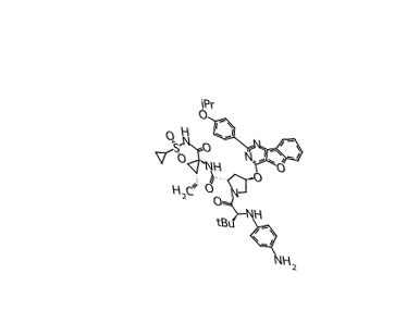 C=C[C@@H]1C[C@]1(NC(=O)[C@@H]1C[C@@H](Oc2nc(-c3ccc(OC(C)C)cc3)nc3c2oc2ccccc23)CN1C(=O)[C@@H](Nc1ccc(N)cc1)C(C)(C)C)C(=O)NS(=O)(=O)C1CC1